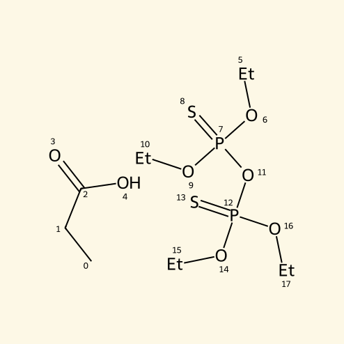 CCC(=O)O.CCOP(=S)(OCC)OP(=S)(OCC)OCC